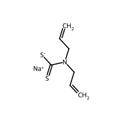 C=CCN(CC=C)C(=S)[S-].[Na+]